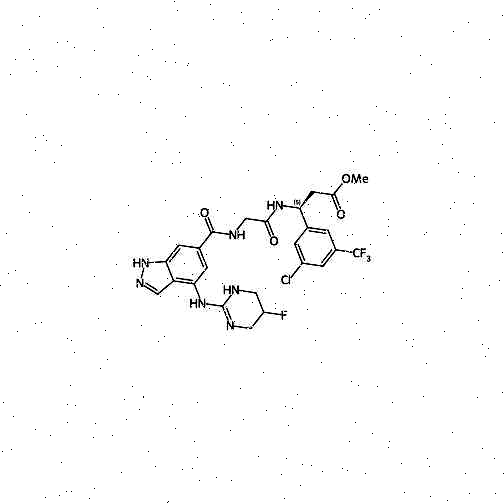 COC(=O)C[C@H](NC(=O)CNC(=O)c1cc(NC2=NCC(F)CN2)c2cn[nH]c2c1)c1cc(Cl)cc(C(F)(F)F)c1